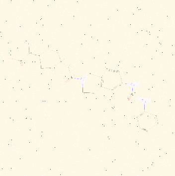 CC(C(=O)O)C1CCC(CC(=O)N2CCc3cc(NC(=O)Nc4ccccc4F)ccc3C2)CC1